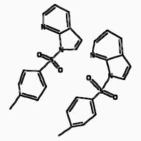 Cc1ccc(S(=O)(=O)n2ccc3cccnc32)cc1.Cc1ccc(S(=O)(=O)n2ccc3cccnc32)cc1